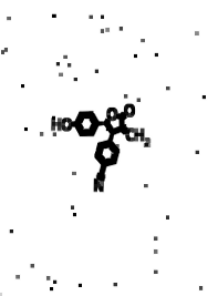 C=C1C(=O)O[C@H](c2ccc(O)cc2)[C@@H]1c1ccc(C#N)cc1